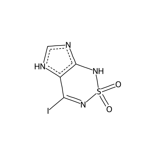 O=S1(=O)N=C(I)c2[nH]cnc2N1